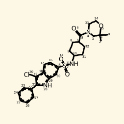 CC1(C)CN(C(=O)C2CCC(NS(=O)(=O)c3ccc4c(Cl)c(-c5ccccc5)[nH]c4c3)CC2)CCO1